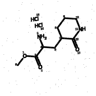 COC(=O)C(N)CC1CCCNC1=O.Cl.Cl